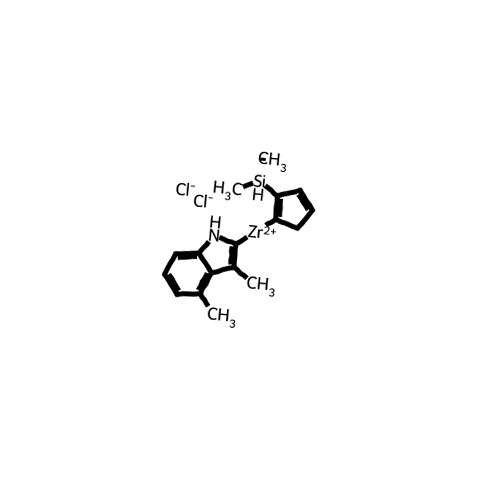 Cc1cccc2[nH][c]([Zr+2][C]3=C([SiH](C)C)C=CC3)c(C)c12.[Cl-].[Cl-]